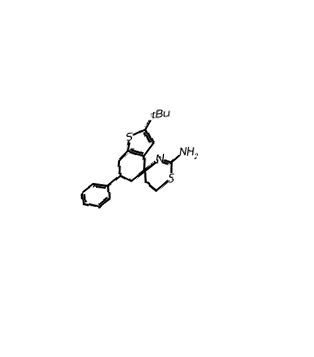 CC(C)(C)c1cc2c(s1)CC(c1ccccc1)CC21CCSC(N)=N1